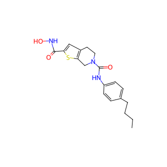 CCCCc1ccc(NC(=O)N2CCc3cc(C(=O)NO)sc3C2)cc1